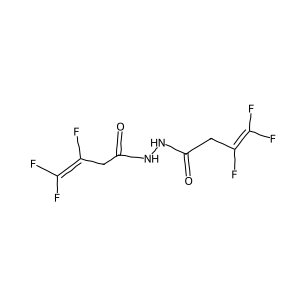 O=C(CC(F)=C(F)F)NNC(=O)CC(F)=C(F)F